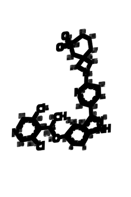 C[C@@H](Oc1ccc2[nH]nc(-c3ccc(N4CC5(CCCS(=O)(=O)C5)C4)nc3)c2c1)c1c(Cl)cncc1Cl